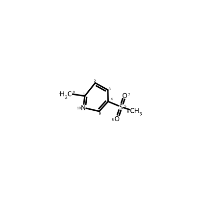 [CH2]c1ccc(S(C)(=O)=O)cn1